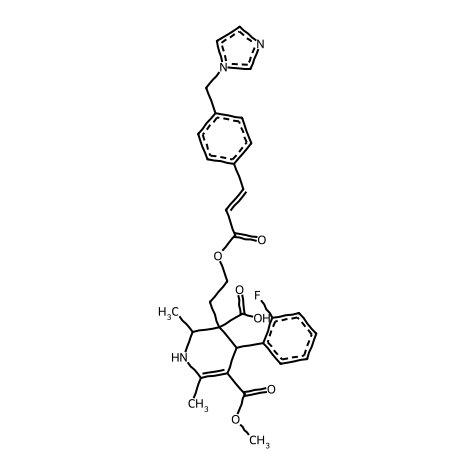 COC(=O)C1=C(C)NC(C)C(CCOC(=O)C=Cc2ccc(Cn3ccnc3)cc2)(C(=O)O)C1c1ccccc1F